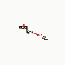 CC(C)(C)OC(=O)CCOCCOCCOCCOCCCc1cccc(SCc2cccc(C(=O)C(O)c3ccccc3)c2)c1